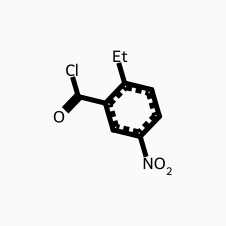 CCc1ccc([N+](=O)[O-])cc1C(=O)Cl